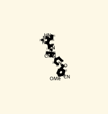 COc1ccc(C(=O)N2CCC(N3CC(CC#N)(n4cc(-c5ncnc6[nH]ccc56)cn4)C3)CC2)cc1C#N